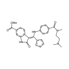 COC(=O)c1ccc2c(c1)NC(=O)C2=C(Nc1ccc(C(=O)N(C)CCN(C)C)cc1)c1cccs1